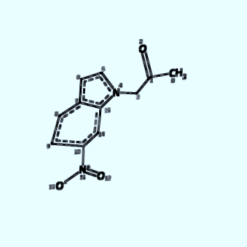 CC(=O)Cn1ccc2ccc([N+](=O)[O-])cc21